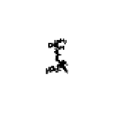 CC(C)(CCCNC(N)=O)C(=O)O